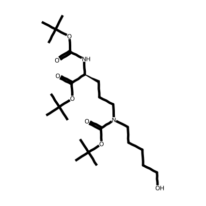 CC(C)(C)OC(=O)N[C@@H](CCCN(CCCCCO)C(=O)OC(C)(C)C)C(=O)OC(C)(C)C